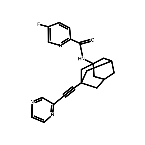 O=C(NC12CC3CC(CC(C#Cc4cnccn4)(C3)C1)C2)c1ccc(F)cn1